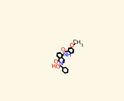 CCOc1cccc(C(=O)Nc2cccc3c(=O)n(C(O)C4CCCCC4)ccc23)c1